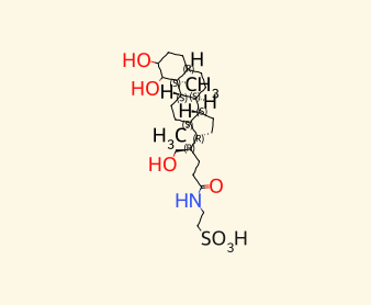 C[C@]12CC[C@H]3[C@@H](CC[C@@H]4CCC(O)C(O)[C@@]43C)[C@@H]1CC[C@@H]2[C@H](CO)CCC(=O)NCCS(=O)(=O)O